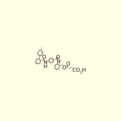 Cc1ccc(-c2ccccc2C(=O)Nc2ccc(C(=O)N(C)c3ccccc3COC(=O)CCC(=O)O)cc2)cc1